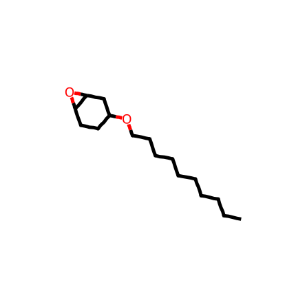 CCCCCCCCCCOC1CCC2OC2C1